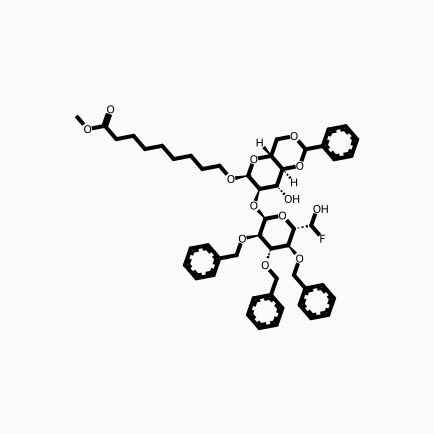 COC(=O)CCCCCCCCO[C@H]1O[C@@H]2COC(c3ccccc3)O[C@H]2[C@H](O)[C@H]1O[C@H]1O[C@H](C(O)F)[C@@H](OCc2ccccc2)[C@H](OCc2ccccc2)[C@H]1OCc1ccccc1